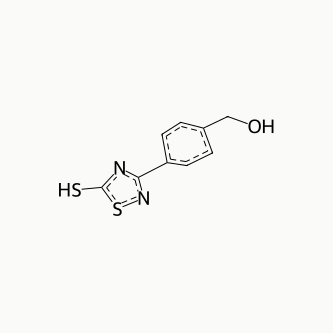 OCc1ccc(-c2nsc(S)n2)cc1